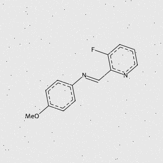 COc1ccc(N=Cc2ncccc2F)cc1